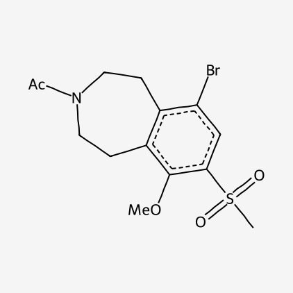 COc1c(S(C)(=O)=O)cc(Br)c2c1CCN(C(C)=O)CC2